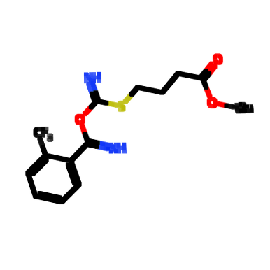 CC(C)(C)OC(=O)CCCSC(=N)OC(=N)c1ccccc1C(F)(F)F